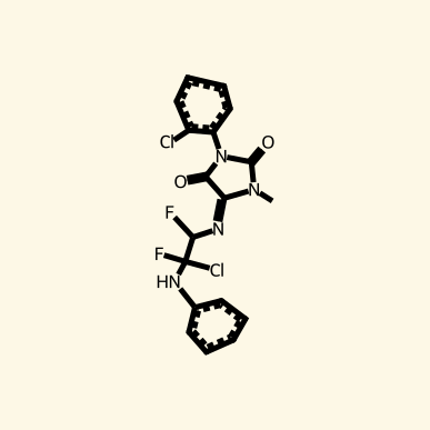 CN1C(=O)N(c2ccccc2Cl)C(=O)C1=NC(F)C(F)(Cl)Nc1ccccc1